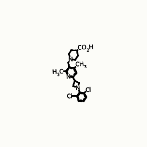 Cc1cc(C2CN(c3c(Cl)cccc3Cl)C2)nc(C)c1CN1CCC(C(=O)O)CC1